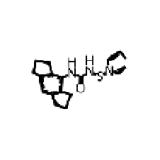 C=CN(/C=C\C)SNC(=O)Nc1c2c(cc3c1CCC3)CCC2